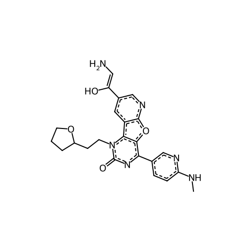 CNc1ccc(-c2nc(=O)n(CCC3CCCO3)c3c2oc2ncc(/C(O)=C/N)cc23)cn1